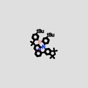 CC(C)(C)c1ccc2c(c1)B1c3cc(C(C)(C)C)ccc3C(C)(C)c3ccnc(c31)N2c1cc2c(cc1-c1ccccc1)C(C)(C)CC2(C)C